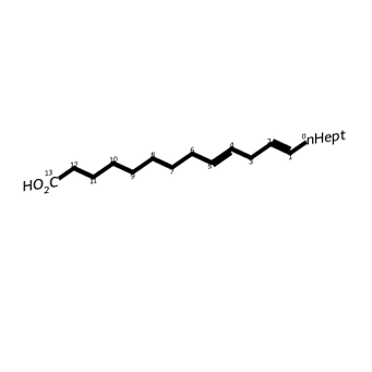 CCCCCCCC=CCC=CCCCCCCCC(=O)O